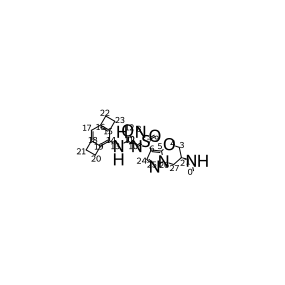 CN[C@@H]1COc2c(S(N)(=O)=NC(=O)Nc3c4c(cc5c3CC5)CC4)cnn2C1